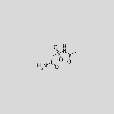 CC(=O)NS(=O)(=O)CC(N)=O